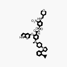 CN(c1ccc(C(=O)NS(=O)(=O)c2ccc(NCC3CCOCC3)c([N+](=O)[O-])c2)c(Oc2cnc3[nH]ccc3c2)c1)C1CCC(N2CCCC2c2ccccc2C2CC2)CC1